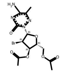 CC(=O)OC[C@H]1O[C@@H](n2nc(C)c(N)nc2=O)[C@H](Br)[C@@H]1OC(C)=O